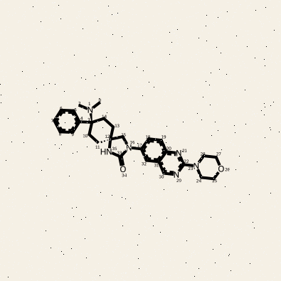 CN(C)[C@]1(c2ccccc2)CC[C@]2(CC1)CN(c1ccc3nc(N4CCOCC4)ncc3c1)C(=O)N2